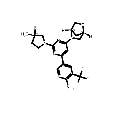 C[C@]1(F)CCN(c2nc(-c3cnc(N)c(C(F)(F)F)c3)cc(N3C[C@@H]4C[C@H]3CO4)n2)C1